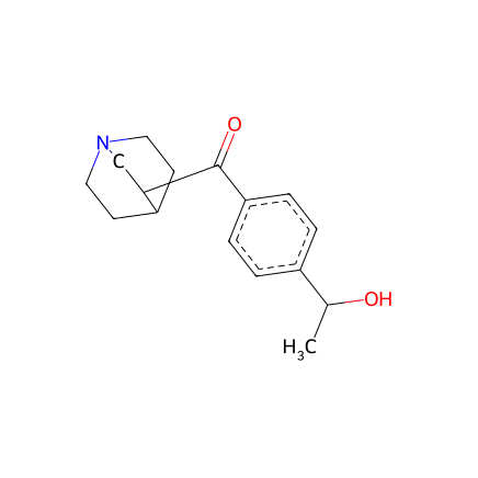 CC(O)c1ccc(C(=O)C2CN3CCC2CC3)cc1